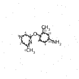 Cc1cncc(Oc2ccc(N)cc2C)n1